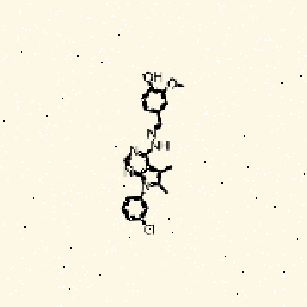 COc1cc(C=NNc2ncnc3c2c(C)c(C)n3-c2cccc(Cl)c2)ccc1O